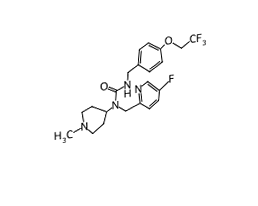 CN1CCC(N(Cc2ccc(F)cn2)C(=O)NCc2ccc(OCC(F)(F)F)cc2)CC1